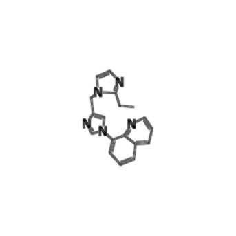 CCc1nccn1Cc1cn(-c2cccc3cccnc23)cn1